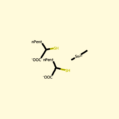 CCCCCC(S)C(=O)[O-].CCCCCC(S)C(=O)[O-].[CH3][Sn+2][CH3]